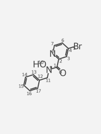 O=C(c1cc(Br)ccn1)N(O)Cc1ccccc1